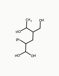 CC(C)C(CC(CO)C(C)O)C(O)O